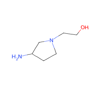 NC1CCN(CCO)C1